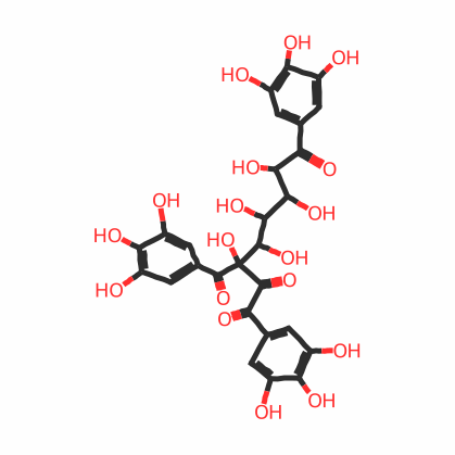 O=C(C(=O)C(O)(C(=O)c1cc(O)c(O)c(O)c1)C(O)C(O)C(O)C(O)C(=O)c1cc(O)c(O)c(O)c1)c1cc(O)c(O)c(O)c1